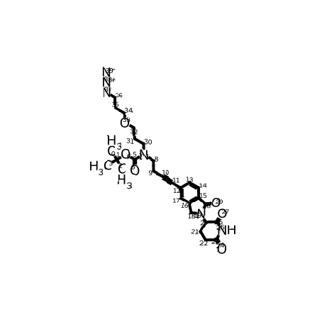 CC(C)(C)OC(=O)N(CCC#Cc1ccc2c(c1)CN(C1CCC(=O)NC1=O)C2=O)CCCOCCCN=[N+]=[N-]